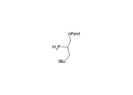 CCCCCCC(P)CC(C)(C)C